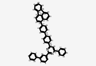 c1ccc(-c2cccc(-c3nc(-c4ccccc4)cc(-c4ccc(-c5ccc(-c6ccc7c8c(cccc68)-c6ccccc6-7)cc5)cc4)n3)c2)cc1